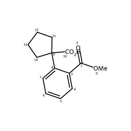 COC(=O)c1ccccc1C1(C(=O)O)CCCC1